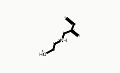 C=CC(=C)CNCCO